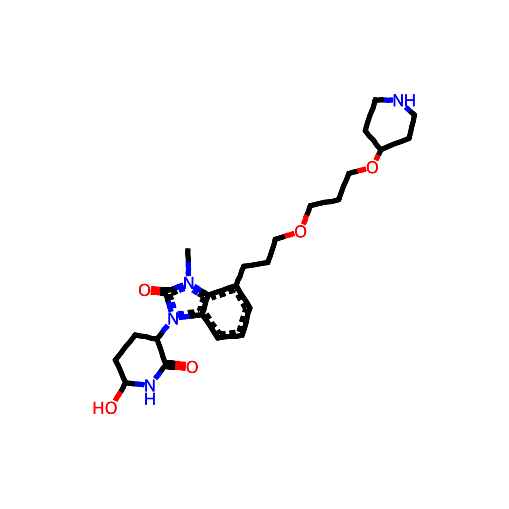 Cn1c(=O)n(C2CCC(O)NC2=O)c2cccc(CCCOCCCOC3CCNCC3)c21